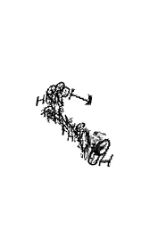 O=C(NCc1ccn(-c2cc3nc(C(=O)O)c(=O)[nH]c3cc2C(F)(F)F)c1)Nc1ccc(C(=O)O)cc1